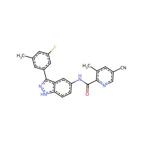 Cc1cc(F)cc(-c2n[nH]c3ccc(NC(=O)c4ncc(C#N)cc4C)cc23)c1